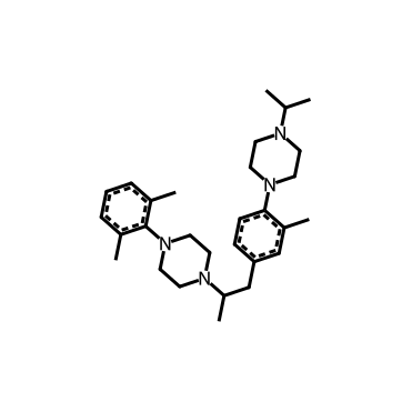 Cc1cc(CC(C)N2CCN(c3c(C)cccc3C)CC2)ccc1N1CCN(C(C)C)CC1